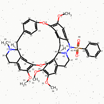 COc1cc2c3cc1Oc1ccc(cc1)C[C@H]1c4cc(c(OC)cc4CCN1C)Oc1c(OC)c(OC)cc4c1[C@@H](C3)N(CC4)N2S(=O)(=O)c1ccccc1